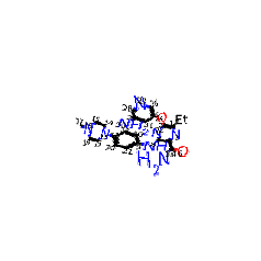 CCc1nc(C(N)=O)c(Nc2ccc(N3CCN(C)CC3)cc2)nc1Oc1cncc(N)c1